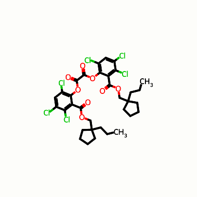 CCCC1(COC(=O)c2c(Cl)c(Cl)cc(Cl)c2OC(=O)C(=O)Oc2c(Cl)cc(Cl)c(Cl)c2C(=O)OCC2(CCC)CCCC2)CCCC1